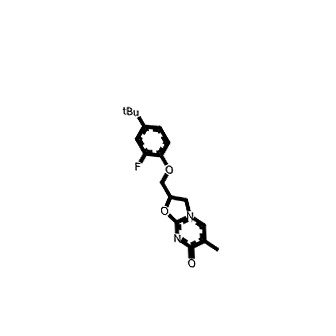 Cc1cn2c(nc1=O)OC(COc1ccc(C(C)(C)C)cc1F)C2